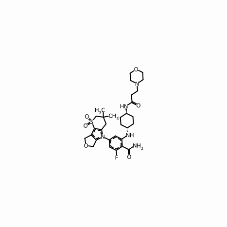 CC1(C)Cc2c(c3c(n2-c2cc(F)c(C(N)=O)c(N[C@H]4CC[C@H](NC(=O)CCN5CCOCC5)CC4)c2)COC3)S(=O)(=O)C1